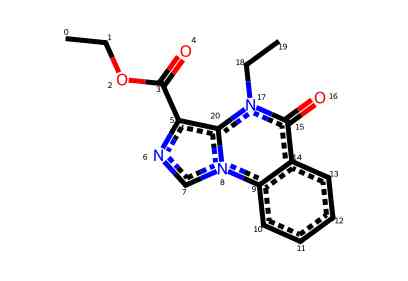 CCOC(=O)c1ncn2c3ccccc3c(=O)n(CC)c12